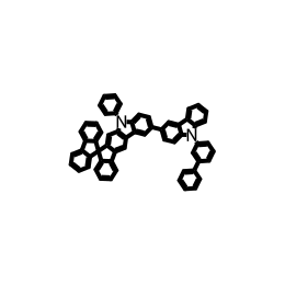 c1ccc(-c2cccc(-n3c4ccccc4c4cc(-c5ccc6c(c5)c5cc7c(cc5n6-c5ccccc5)C5(c6ccccc6-c6ccccc65)c5ccccc5-7)ccc43)c2)cc1